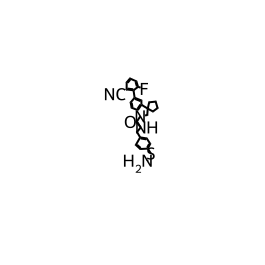 N#Cc1cccc(F)c1-c1ccc2c(c1)C1(CCCC1)CN2C(=O)NCc1ccc(SN)cc1